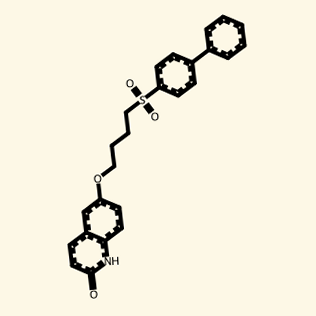 O=c1ccc2cc(OCCCCS(=O)(=O)c3ccc(-c4ccccc4)cc3)ccc2[nH]1